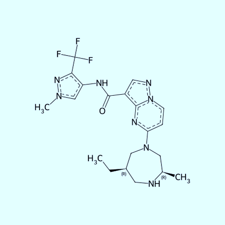 CC[C@@H]1CN[C@H](C)CN(c2ccn3ncc(C(=O)Nc4cn(C)nc4C(F)(F)F)c3n2)C1